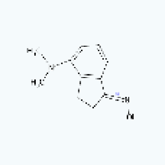 CN(C)c1cccc2c1CC/C2=N\O